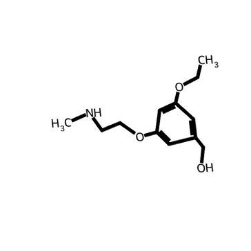 CCOc1cc(CO)cc(OCCNC)c1